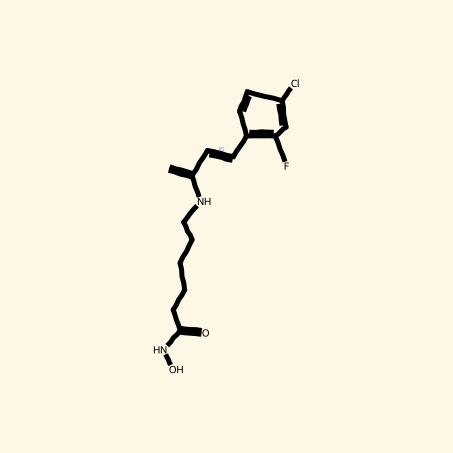 C=C(/C=C/c1ccc(Cl)cc1F)NCCCCCC(=O)NO